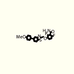 COc1ccc(-c2ccc3sc(COc4ccc(F)c(C(N)=O)c4F)nc3c2)cc1